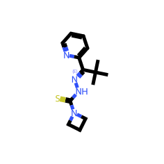 CC(C)(C)/C(=N\NC(=S)N1CCC1)c1ccccn1